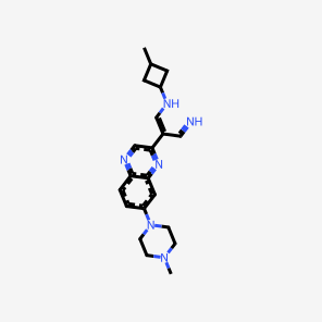 CC1CC(N/C=C(\C=N)c2cnc3ccc(N4CCN(C)CC4)cc3n2)C1